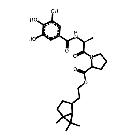 C[C@H](NC(=O)c1cc(O)c(O)c(O)c1)C(=O)N1CCCC1C(=O)OCCC1CCC2(C)C1C2(C)C